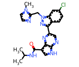 CC(C)NC(=O)c1c[nH]c2ncc(-c3nn(Cc4nccn4C)c4cc(Cl)ccc34)nc12